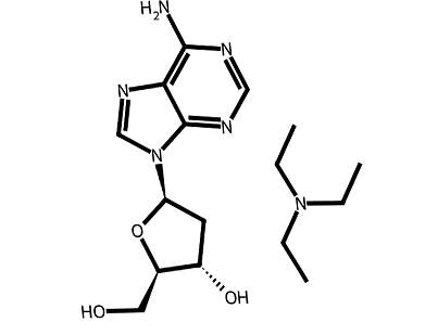 CCN(CC)CC.Nc1ncnc2c1ncn2[C@H]1C[C@H](O)[C@@H](CO)O1